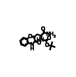 CC(C)(C)OC(=O)N[C@@H](C[C@@H]1Oc2ccccc2NC1=O)C(N)=O